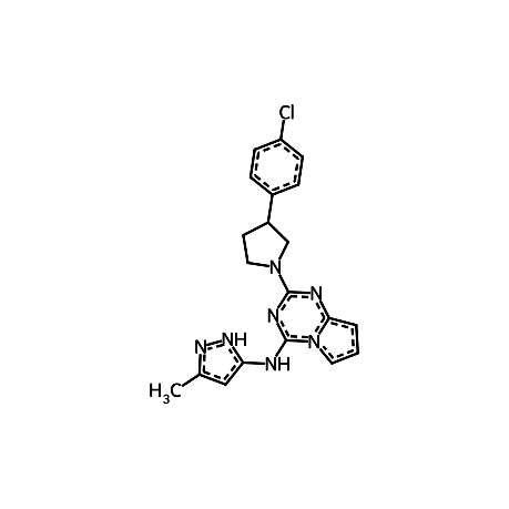 Cc1cc(Nc2nc(N3CCC(c4ccc(Cl)cc4)C3)nc3cccn23)[nH]n1